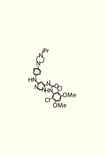 COc1cc(OC)c(Cl)c(NC(=O)N(C)c2cc(Nc3ccc(N4CCN(C(C)C)CC4)cc3)ncn2)c1Cl